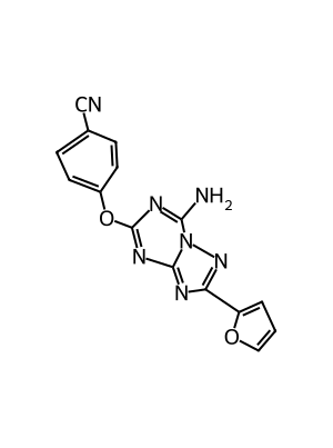 N#Cc1ccc(Oc2nc(N)n3nc(-c4ccco4)nc3n2)cc1